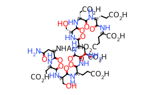 CC(=O)N[C@H](CC(N)=O)C(=O)N[C@H](CC(=O)O)C(=O)N[C@H](CO)C(=O)N[C@H](CCC(=O)O)C(=O)N[C@H](CC(=O)O)C(=O)N[C@H](CC(N)=O)C(=O)N[C@H](CO)C(=O)N[C@H](CC(=O)O)C(=O)N[C@H](CCC(=O)O)C(=O)N[C@H](CCC(=O)O)C(=O)O